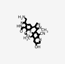 CCOc1cc(-c2cnn(C)c2-c2c(F)c(C)c3cc(O)cnc3c2C#N)cc2c(CN)n[nH]c(=O)c12